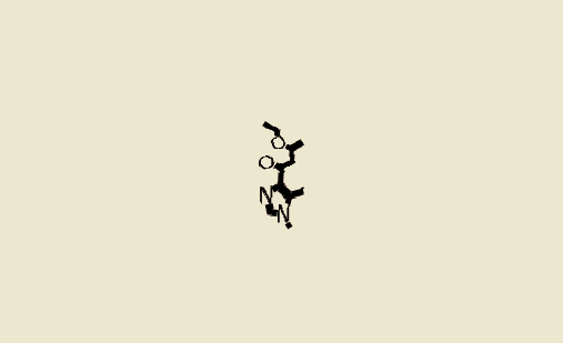 C=C(CC(=O)c1ncn(C)c1C)OCC